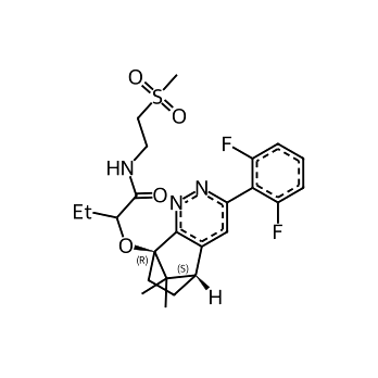 CCC(O[C@@]12CC[C@@H](c3cc(-c4c(F)cccc4F)nnc31)C2(C)C)C(=O)NCCS(C)(=O)=O